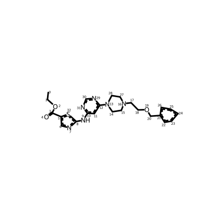 CCOC(=O)c1cnc(Nc2cc(N3CCN(CCOCc4ccccc4)CC3)ncn2)s1